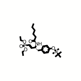 CCCCCC(=O)N[C@@H](/C=C/P(=O)(OCC)OCC)Cc1ccc(O[Si](C)(C)C(C)(C)C)cc1